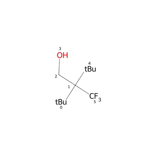 CC(C)(C)C(CO)(C(C)(C)C)C(F)(F)F